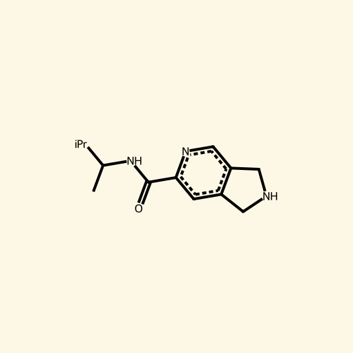 CC(C)C(C)NC(=O)c1cc2c(cn1)CNC2